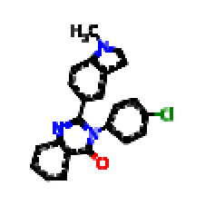 Cn1ccc2cc(-c3nc4ccccc4c(=O)n3-c3ccc(Cl)cc3)ccc21